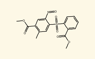 COC(=O)c1cc(N=O)c(S(=O)(=O)c2ccccc2C(=O)OC)cc1C